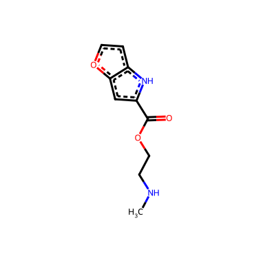 CNCCOC(=O)c1cc2occc2[nH]1